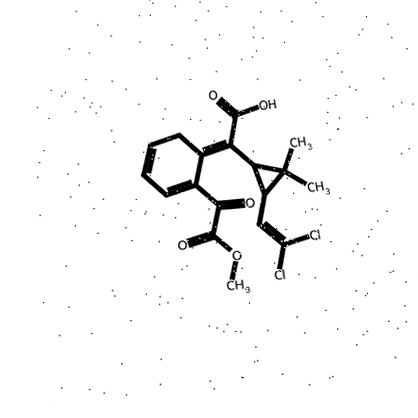 COC(=O)C(=O)C1=CC=CCC1=C(C(=O)O)C1C(C=C(Cl)Cl)C1(C)C